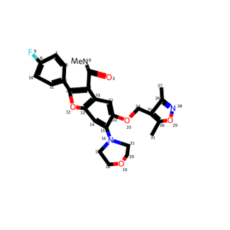 CNC(=O)c1c(-c2ccc(F)cc2)oc2cc(N3CCOCC3)c(OCc3c(C)noc3C)cc12